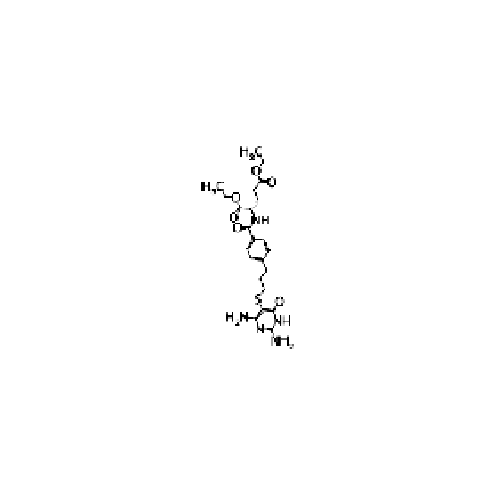 CCOC(=O)CC[C@H](NC(=O)c1ccc(CCCSc2c(N)nc(N)[nH]c2=O)cc1)C(=O)OCC